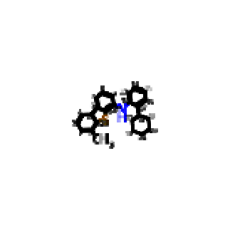 CC1=CC=CC2c3cccc(Nc4ccccc4C4CCCCC4)c3SC12